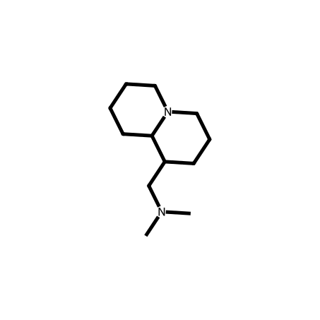 CN(C)CC1CCCN2CCCCC12